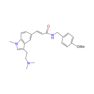 COc1ccc(CNC(=O)C=Cc2ccc3c(c2)c(CCN(C)C)cn3C)cc1